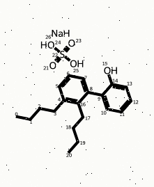 CCCCc1cccc(-c2ccccc2O)c1CCCC.O=S(=O)(O)O.[NaH]